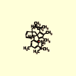 CC1=C(C)C(CC2(CC(C)C)C=CC=CC2)([SiH2]c2cc(C)cc([Si](C)(C)C)c2)[C]([Ti]([CH3])[CH3])=C1C